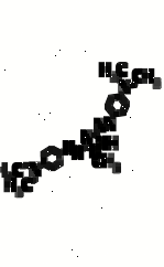 CCN(CC)c1ccc(N=NC2=NC(N=Nc3ccc(N(CC)CC)cc3)NN2C)cc1